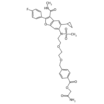 CNC(=O)c1c(-c2ccc(F)cc2)oc2cc(N(CCOCCOCc3ccc(C(=O)OCC(N)=O)cc3)S(C)(=O)=O)c(C3CC3)cc12